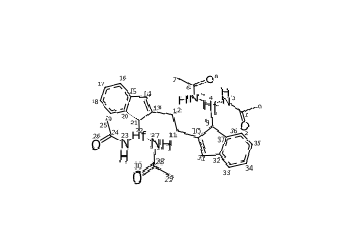 CC(=O)[NH][Hf]([NH]C(C)=O)[CH]1C(CCC2=Cc3ccccc3[CH]2[Hf]([NH]C(C)=O)[NH]C(C)=O)=Cc2ccccc21